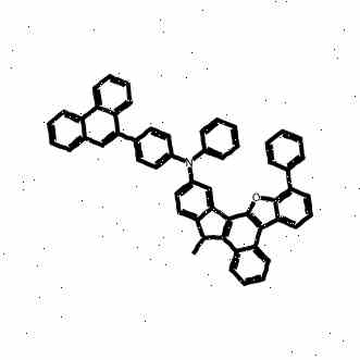 CC1c2ccc(N(c3ccccc3)c3ccc(-c4cc5ccccc5c5ccccc45)cc3)cc2-c2c1c1ccccc1c1c2oc2c(-c3ccccc3)cccc21